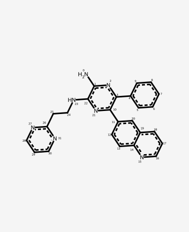 Nc1nc(-c2ccccc2)c(-c2ccc3ncccc3c2)nc1NCCc1ncccn1